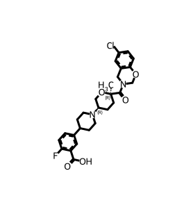 C[C@]1(C(=O)N2COc3ccc(Cl)cc3C2)CC[C@@H](N2CCC(c3ccc(F)c(C(=O)O)c3)CC2)CO1